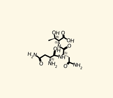 C[C@@H](O)[C@H](NC(=O)[C@H](CC(N)=O)NC(=O)[C@@H](N)CC(N)=O)C(=O)O